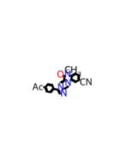 CC(=O)c1ccc(-c2cnc3cnc(C(=O)N(C)c4ccc(C#N)cc4)cn23)cc1